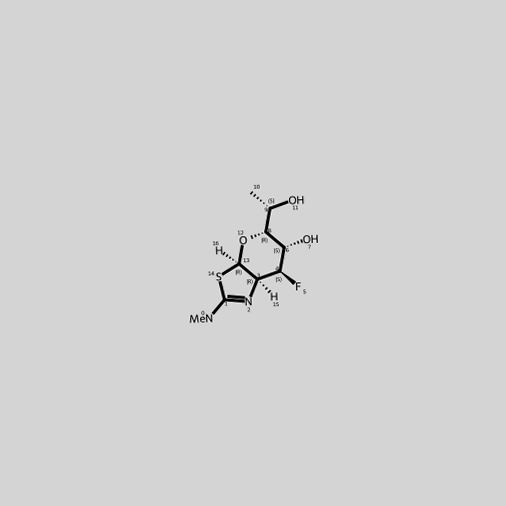 CNC1=N[C@@H]2[C@H](F)[C@@H](O)[C@@H]([C@H](C)O)O[C@@H]2S1